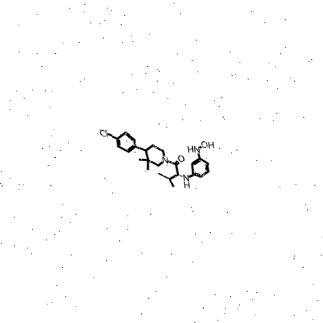 CC(C)[C@@H](Nc1cccc(NO)c1)C(=O)N1CCC(c2ccc(Cl)cc2)C(C)(C)C1